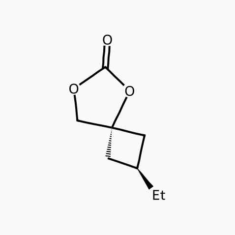 CC[C@H]1C[C@@]2(COC(=O)O2)C1